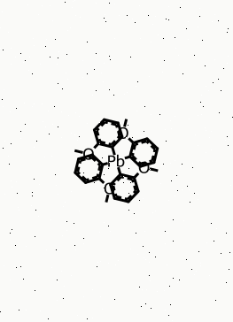 COc1cccc[c]1[Pb]([c]1ccccc1OC)([c]1ccccc1OC)[c]1ccccc1OC